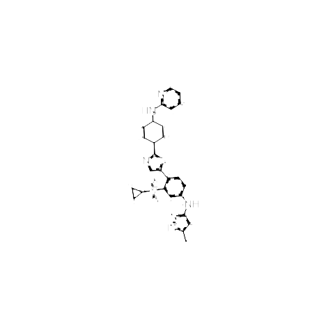 Cc1cc(Nc2ccc(-c3cnc(C4CCC(Nc5ccccn5)CC4)s3)c(S(=O)(=O)C3CC3)c2)n[nH]1